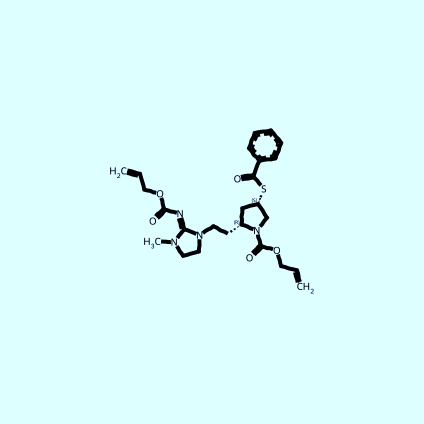 C=CCOC(=O)N=C1N(C)CCN1CC[C@@H]1C[C@H](SC(=O)c2ccccc2)CN1C(=O)OCC=C